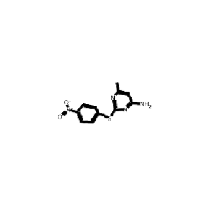 Cc1cc(N)nc(Sc2ccc([N+](=O)[O-])cc2)n1